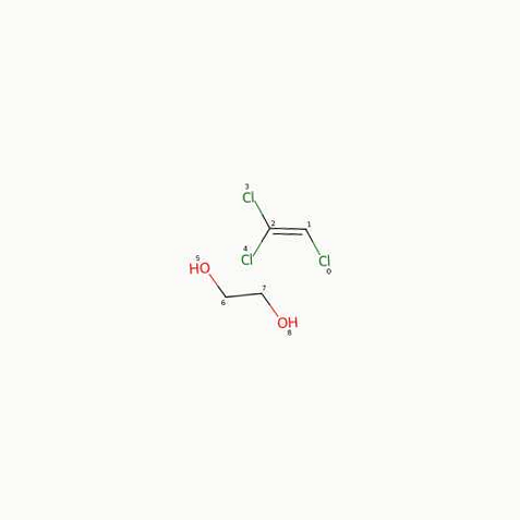 ClC=C(Cl)Cl.OCCO